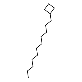 CCCCCCCCCCCC1CCC1